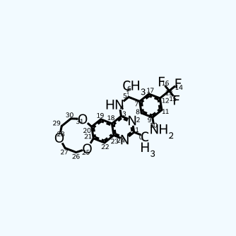 Cc1nc(N[C@H](C)c2cc(N)cc(C(F)(F)F)c2)c2cc3c(cc2n1)OCCOCCO3